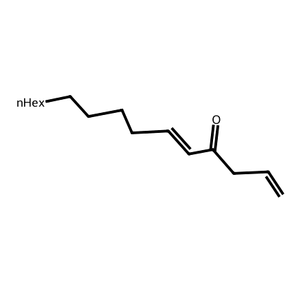 C=CCC(=O)C=CCCCCCCCCCC